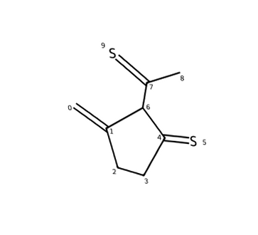 C=C1CCC(=S)C1C(C)=S